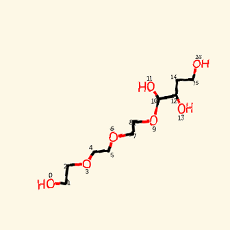 OCCOCCOCCOC(O)C(O)CCO